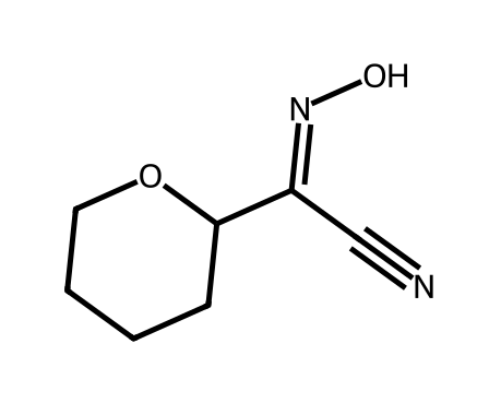 N#CC(=NO)C1CCCCO1